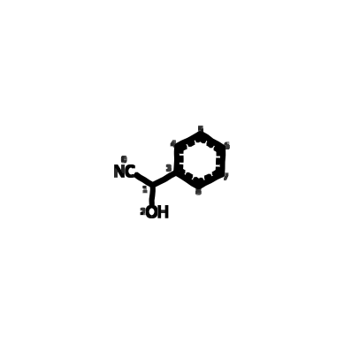 N#CC(O)c1ccccc1